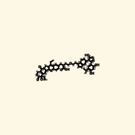 CCc1c2c(nc3ccc(CN(CCOCCn4ccc5cc(-n6c(O)nnc6-c6cc(C(C)C)c(O)cc6O)ccc54)C(=O)O)cc13)-c1cc3c(c(=O)n1C2)COC(=O)C3(O)CC